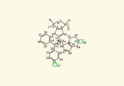 CC(C)(C)C1=C(C(C)(C)C)C[C]([Zr+2](=[C](c2ccccc2)c2ccccc2)[CH]2C=CC3=C2CCCC3)=C1.[Cl-].[Cl-]